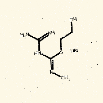 Br.CN=C(NC(=N)N)SCCO